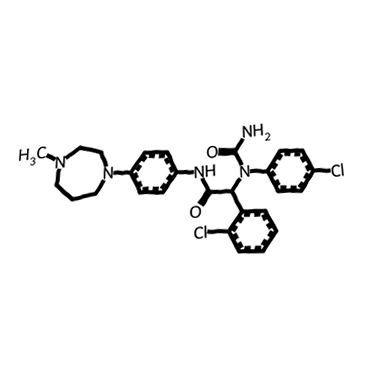 CN1CCCN(c2ccc(NC(=O)C(c3ccccc3Cl)N(C(N)=O)c3ccc(Cl)cc3)cc2)CC1